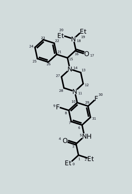 CCC(CC)C(=O)Nc1cc(F)c(N2CCN(C(C(=O)N(CC)CC)c3ccccc3)CC2)c(F)c1